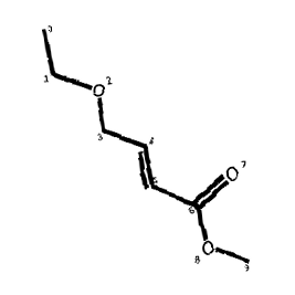 CCOC/C=C/C(=O)OC